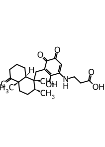 C=C1CCC[C@H]2[C@](C)(CC3=C(O)C(NCCC(=O)O)=CC(=O)C3=O)[C@@H](C)CC[C@]12C